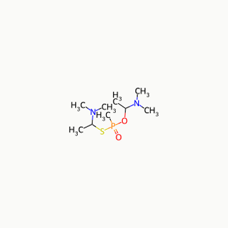 CC(OP(C)(=O)SC(C)N(C)C)N(C)C